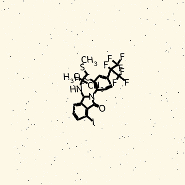 CSCC(C)(C)NC1c2cccc(I)c2C(=O)N1c1ccc(C(F)(C(F)(F)F)C(F)(F)F)cc1C